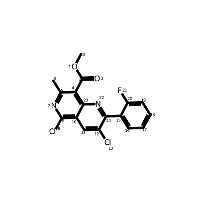 COC(=O)c1c(C)nc(Cl)c2cc(Cl)c(-c3ccccc3F)nc12